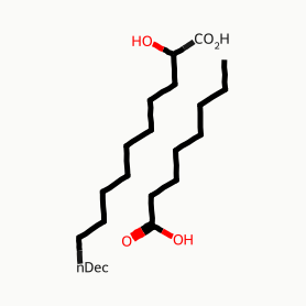 CCCCCCCC(=O)O.CCCCCCCCCCCCCCCCCCC(O)C(=O)O